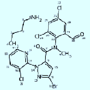 CCCCN.CN(C(=O)c1cc(Br)nn1-c1ncccc1Cl)c1c(Cl)cc(Cl)cc1C=O